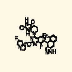 CCc1cccc2cc3[nH]ncc3c(-c3ncc4c(N5CCCC6(C5)NC(=O)NC6=O)nc(OC[C@@]56CCCN5C[C@H](F)C6)nc4c3F)c12